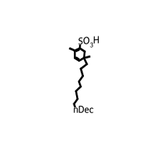 CCCCCCCCCCCCCCCCCCC1(C)C=CC(C)=C(S(=O)(=O)O)C1